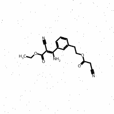 CCOC(=O)/C(C#N)=C(\N)c1cccc(CCOC(=O)CC#N)c1